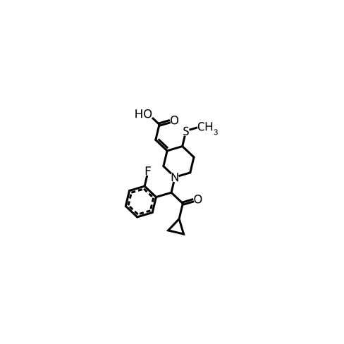 CSC1CCN(C(C(=O)C2CC2)c2ccccc2F)CC1=CC(=O)O